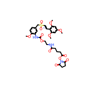 COc1cc(OC)c(/C=C/S(=O)(=O)Cc2ccc(OC)c(NC(=O)OCCNC(=O)CCCC(=O)ON3C(=O)CCC3=O)c2)c(OC)c1